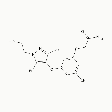 CCc1nn(CCO)c(CC)c1Oc1cc(C#N)cc(OCC(N)=O)c1